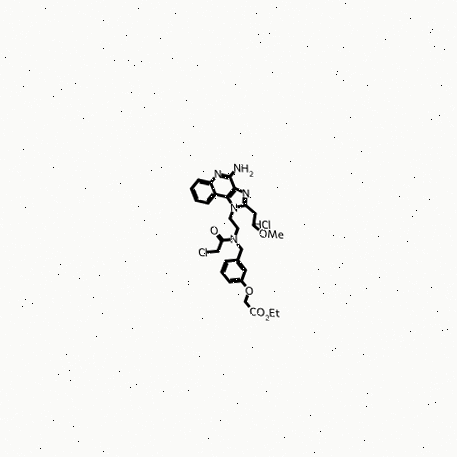 CCOC(=O)COc1cccc(CN(CCn2c(CCOC)nc3c(N)nc4ccccc4c32)C(=O)CCl)c1.Cl